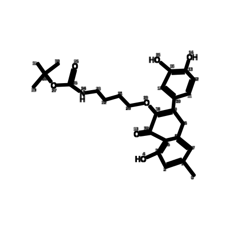 Cc1cc(O)c2c(c1)CC(c1ccc(O)c(O)c1)=C(OCCCCNC(=O)OC(C)(C)C)C2=O